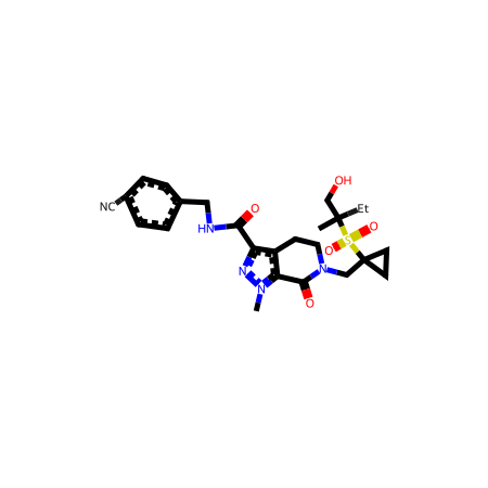 CCC(C)(CO)S(=O)(=O)C1(CN2CCc3c(C(=O)NCc4ccc(C#N)cc4)nn(C)c3C2=O)CC1